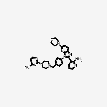 N#Cc1ccnc(N2CCN(Cc3ccc(-n4c(-c5cccnc5N)nc5ccc(N6CCOCC6)nc54)cc3)CC2)n1